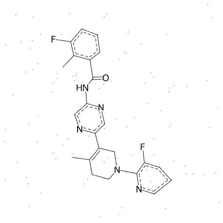 CC1=C(c2cnc(NC(=O)c3cccc(F)c3C)cn2)CN(c2ncccc2F)CC1